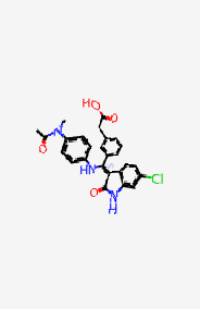 CC(=O)N(C)c1ccc(N/C(=C2\C(=O)Nc3cc(Cl)ccc32)c2cccc(CC(=O)O)c2)cc1